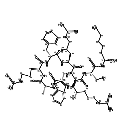 C[C@@H](NC(=O)[C@H](CS)NC(=O)[C@@H](N)CCCNC(=N)N)C(=O)N[C@@H](CCCNC(=N)N)C(=O)N[C@H](Cc1ccccc1)C(=O)N[C@@H](CC(Br)CNC(=N)N)C(=O)N[C@H](Cc1c[nH]c2ccccc12)C(=O)N[C@@H](CS)C(=O)N[C@@H](CCCCN)C(=O)O